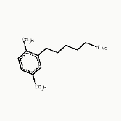 CCCCCCCCCCCCCCCc1cc(C(=O)O)ccc1C(=O)O